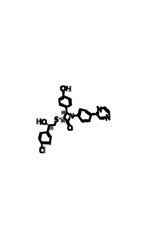 O=C1[C@H](SC[C@@H](O)c2ccc(Cl)cc2)[C@@H](c2ccc(O)cc2)N1c1ccc(-c2cnccn2)cc1